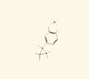 BC1(B)C(B)(B)C1(C#N)c1ccc2c(c1)OC(F)(F)O2